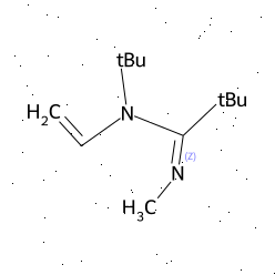 C=CN(/C(=N\C)C(C)(C)C)C(C)(C)C